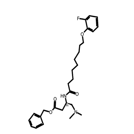 CN(C)C[C@@H](CC(=O)OCc1ccccc1)NC(=O)CCCCCCCCOc1ccccc1F